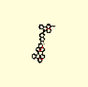 CC(C)c1ccc(-c2ccccc2N(c2ccccc2)c2ccc3cc4c(cc3c2)oc2cc3cc(N(c5ccccc5-c5ccccc5)c5ccccc5-c5ccccc5)ccc3cc24)cc1